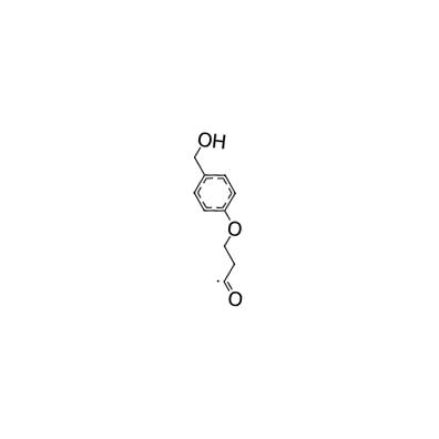 O=[C]CCOc1ccc(CO)cc1